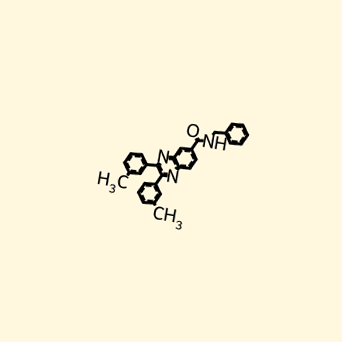 Cc1cccc(-c2nc3ccc(C(=O)NCc4ccccc4)cc3nc2-c2cccc(C)c2)c1